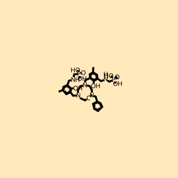 Cc1cc(CNCP(=O)(O)O)c(O)c(CN2CCCN(Cc3ccccc3)CCN(Cc3cc(C)cc(CNCP(=O)(O)O)c3O)CC2)c1